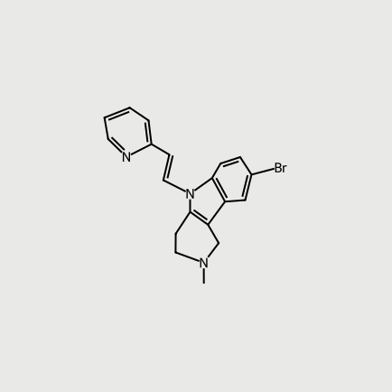 CN1CCc2c(c3cc(Br)ccc3n2C=Cc2ccccn2)C1